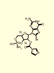 B[PH]1(O)OC[C@H]2O[C@@H](n3c(Br)nc4c(=O)[nH]c(N)nc43)[C@@H](OC(=O)n3ccnc3)[C@H]2O1